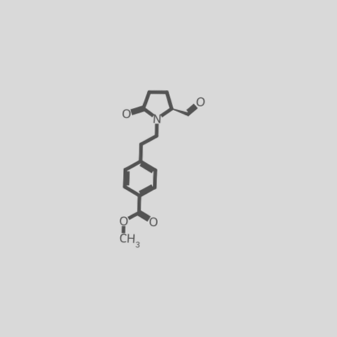 COC(=O)c1ccc(CCN2C(=O)CC[C@H]2C=O)cc1